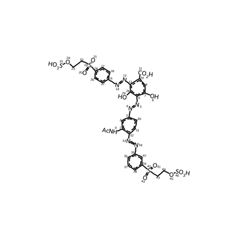 CC(=O)Nc1cc(N=Nc2c(O)cc(C(=O)O)c(N=Nc3ccc(S(=O)(=O)CCOS(=O)(=O)O)cc3)c2O)ccc1N=Nc1cccc(S(=O)(=O)CCOS(=O)(=O)O)c1